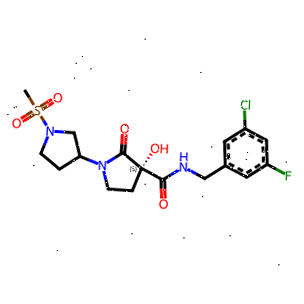 CS(=O)(=O)N1CCC(N2CC[C@](O)(C(=O)NCc3cc(F)cc(Cl)c3)C2=O)C1